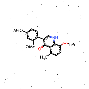 CCCOc1ccc(C)c2c(=O)c(-c3ccc(OC)cc3OC)c[nH]c12